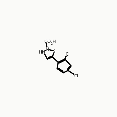 O=C(O)N1NC=C(c2ccc(Cl)cc2Cl)S1